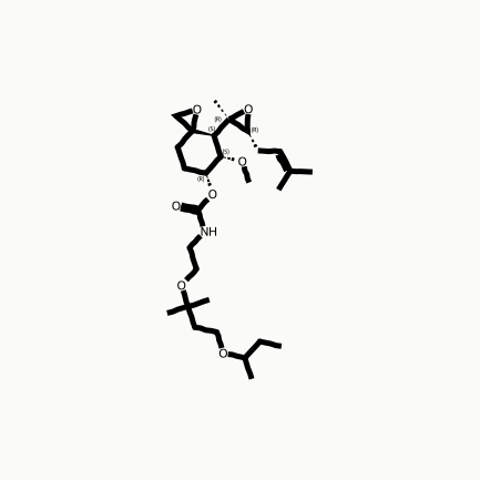 CCC(C)OCCC(C)(C)OCCNC(=O)O[C@@H]1CCC2(CO2)[C@@H]([C@@]2(C)O[C@@H]2CC=C(C)C)[C@@H]1OC